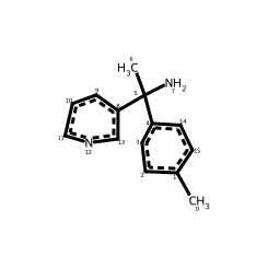 Cc1ccc(C(C)(N)c2cccnc2)cc1